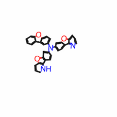 C1=Cc2oc3cc(N(c4ccc5c(c4)oc4cccnc45)c4ccc5oc6ccccc6c5c4)ccc3c2NC1